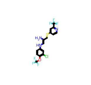 N/C(=C\Nc1ccc(OC(F)(F)F)c(Cl)c1)CSc1ccnc(C(F)(F)F)c1